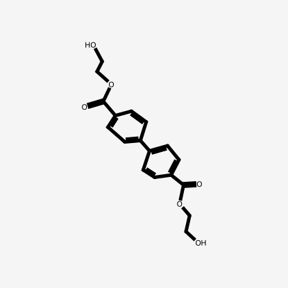 O=C(OCCO)c1ccc(-c2ccc(C(=O)OCCO)cc2)cc1